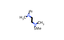 CSN(C)CCN(C)C(C)C